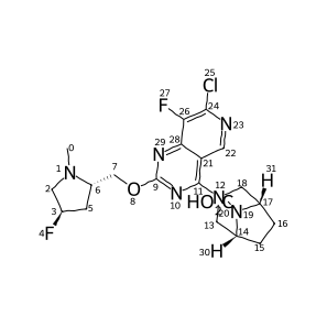 CN1C[C@H](F)C[C@H]1COc1nc(N2C[C@H]3CC[C@@H](C2)N3C(=O)O)c2cnc(Cl)c(F)c2n1